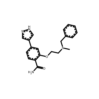 CN(CCOc1cc(-c2cn[nH]c2)ccc1C(N)=O)Cc1ccccc1